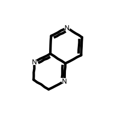 c1cc2c(cn1)=NCCN=2